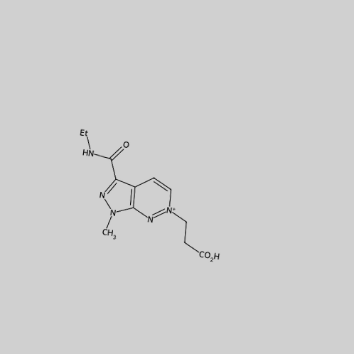 CCNC(=O)c1nn(C)c2n[n+](CCC(=O)O)ccc12